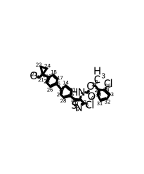 C[C@@H](OC(=O)Nc1c(Cl)nsc1-c1ccc(-c2ccc(C3(C=O)CC3)cc2)cc1)c1ccccc1Cl